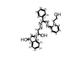 OCCn1ccccc1=NN=C(N=NCC(O)[n+]1cn(O)c2ccccc21)c1ccccc1